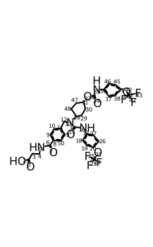 O=C(O)CCNC(=O)c1ccc(CN(C(=O)Nc2ccc(OC(F)(F)F)cc2)C2CCC(OC(=O)Nc3ccc(OC(F)(F)F)cc3)CC2)cc1